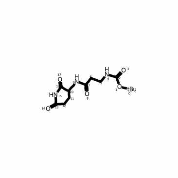 CC(C)(C)OC(=O)NCCC(=O)NC1CCC(=O)NC1=O